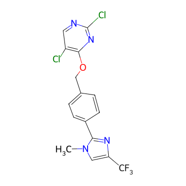 Cn1cc(C(F)(F)F)nc1-c1ccc(COc2nc(Cl)ncc2Cl)cc1